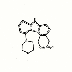 CCOC(=O)Oc1ncc2[nH]c3cccc(N4CCOCC4)c3c2c1COC